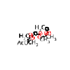 CC(=O)OC(C)/C=C/C(C)OC(=O)c1cccc(C(=O)OC(C)/C=C/C(C)OC(=O)c2cccc(C)c2)c1